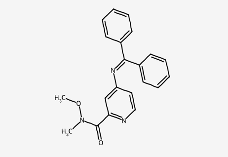 CON(C)C(=O)c1cc(N=C(c2ccccc2)c2ccccc2)ccn1